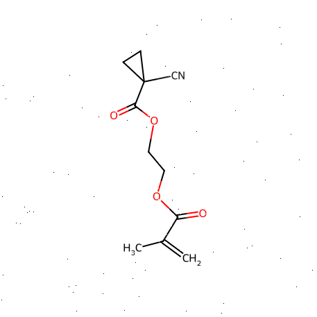 C=C(C)C(=O)OCCOC(=O)C1(C#N)CC1